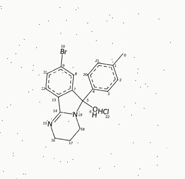 Cc1ccc(C2(O)c3cc(Br)ccc3C3=NCCCN32)cc1.Cl